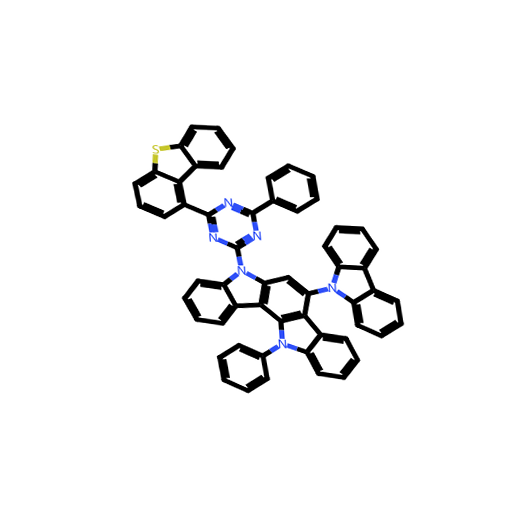 c1ccc(-c2nc(-c3cccc4sc5ccccc5c34)nc(-n3c4ccccc4c4c3cc(-n3c5ccccc5c5ccccc53)c3c5ccccc5n(-c5ccccc5)c34)n2)cc1